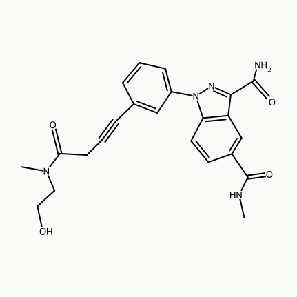 CNC(=O)c1ccc2c(c1)c(C(N)=O)nn2-c1cccc(C#CCC(=O)N(C)CCO)c1